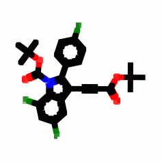 CC(C)(C)OC(=O)C#Cc1c(-c2ccc(F)cc2)n(C(=O)OC(C)(C)C)c2c(F)cc(F)cc12